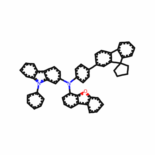 c1ccc(-n2c3ccccc3c3ccc(N(c4ccc(-c5ccc6c(c5)C5(CCCC5)c5ccccc5-6)cc4)c4cccc5c4oc4ccccc45)cc32)cc1